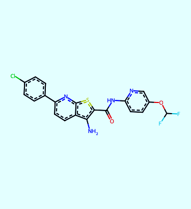 Nc1c(C(=O)Nc2ccc(OC(F)F)cn2)sc2nc(-c3ccc(Cl)cc3)ccc12